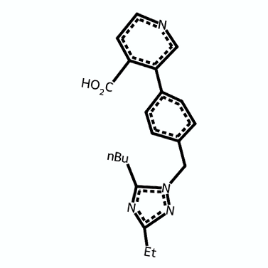 CCCCc1nc(CC)nn1Cc1ccc(-c2cnccc2C(=O)O)cc1